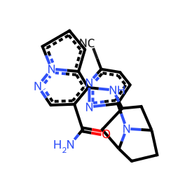 N#Cc1ccc(N2C3CCC2CC(Nc2c(C(N)=O)cnn4cccc24)C3)nn1